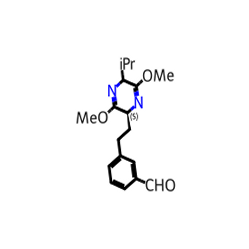 COC1=N[C@@H](CCc2cccc(C=O)c2)C(OC)=NC1C(C)C